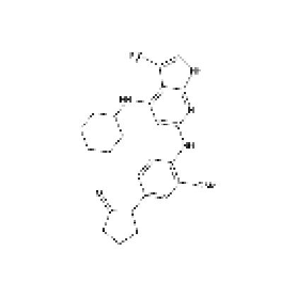 COc1cc(C2CCCC2=O)ccc1Nc1nc(NC2CCCCC2)c2c(C(F)(F)F)c[nH]c2n1